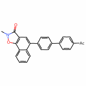 CC(=O)c1ccc(-c2ccc(-c3cc4c(=O)n(C)oc4c4ccccc34)cc2)cc1